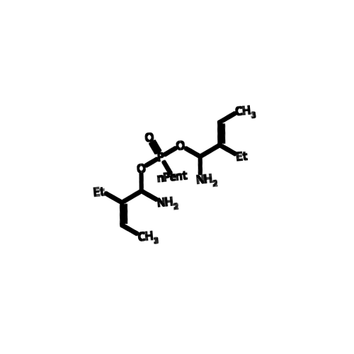 CC=C(CC)C(N)OP(=O)(CCCCC)OC(N)C(=CC)CC